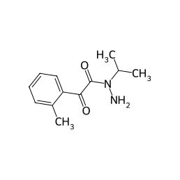 Cc1ccccc1C(=O)C(=O)N(N)C(C)C